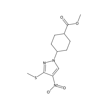 COC(=O)C1CCC(n2cc([N+](=O)[O-])c(SC)n2)CC1